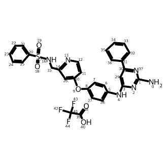 Nc1nc(Nc2ccc(Oc3ccnc(CNS(=O)(=O)c4ccccc4)c3)cc2)cc(-c2ccccc2)n1.O=C(O)C(F)(F)F